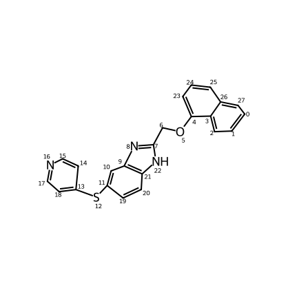 c1ccc2c(OCc3nc4cc(Sc5ccncc5)ccc4[nH]3)cccc2c1